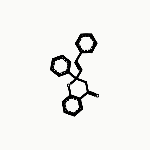 O=C1CC(C=Cc2ccccc2)(c2ccccc2)Oc2ccccc21